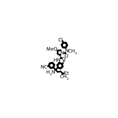 C=C(CC)CCC(N)(c1cccc(C#N)c1)c1ccc(F)c(NC(=O)[C@H]2C[C@@H](OC)CN2C(=O)N(C)c2ccc(Cl)cc2)c1